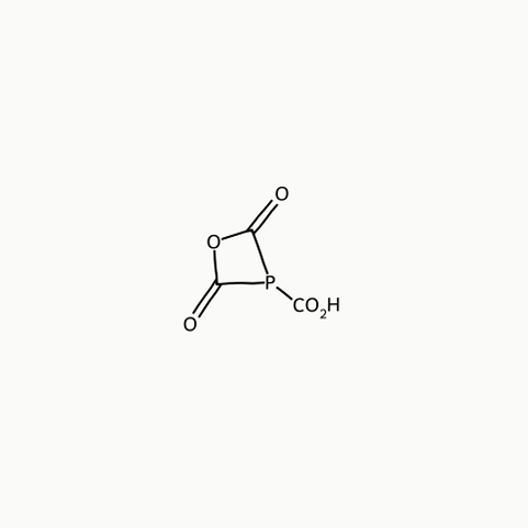 O=C(O)P1C(=O)OC1=O